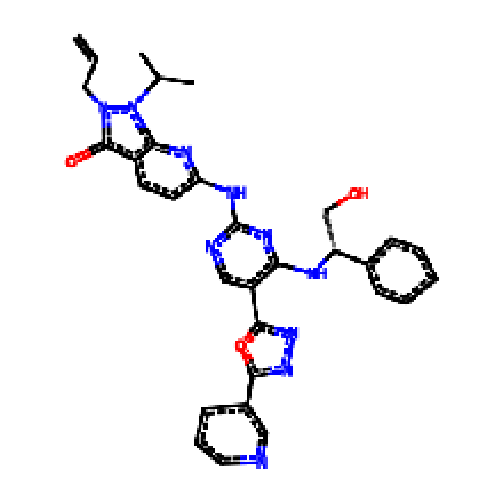 C=CCn1c(=O)c2ccc(Nc3ncc(-c4nnc(-c5cccnc5)o4)c(N[C@H](CO)c4ccccc4)n3)nc2n1C(C)C